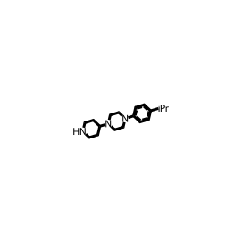 CC(C)c1ccc(N2CCN(C3CCNCC3)CC2)cc1